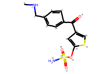 CNCc1ccc(C(=O)c2csc(OS(N)(=O)=O)c2)cc1